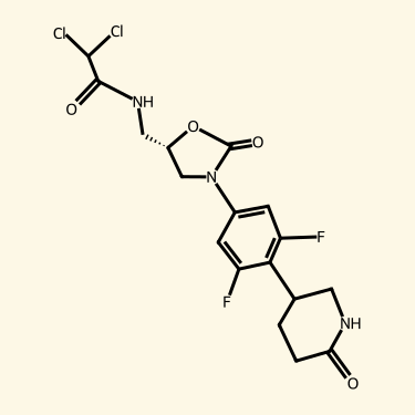 O=C1CCC(c2c(F)cc(N3C[C@H](CNC(=O)C(Cl)Cl)OC3=O)cc2F)CN1